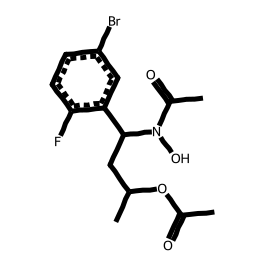 CC(=O)OC(C)CC(c1cc(Br)ccc1F)N(O)C(C)=O